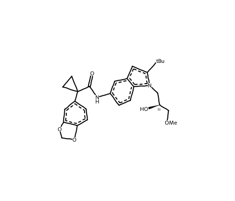 COC[C@@H](O)Cn1c(C(C)(C)C)cc2cc(NC(=O)C3(c4ccc5c(c4)OCO5)CC3)ccc21